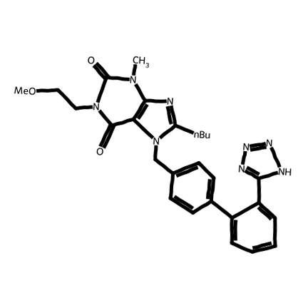 CCCCc1nc2c(c(=O)n(CCOC)c(=O)n2C)n1Cc1ccc(-c2ccccc2-c2nnn[nH]2)cc1